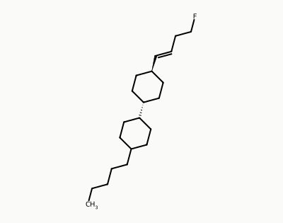 CCCCCC1CCC([C@H]2CC[C@H](/C=C/CCF)CC2)CC1